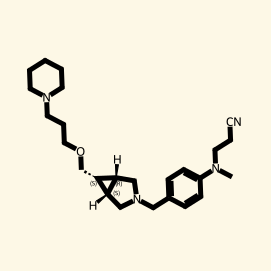 CN(CCC#N)c1ccc(CN2C[C@@H]3[C@H](COCCCN4CCCCC4)[C@@H]3C2)cc1